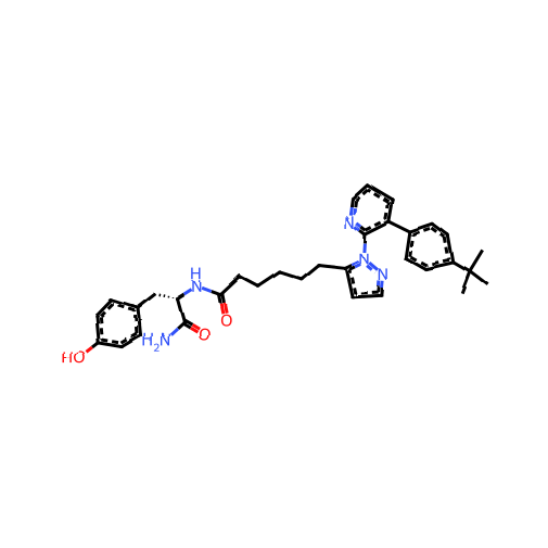 CC(C)(C)c1ccc(-c2cccnc2-n2nccc2CCCCCC(=O)N[C@@H](Cc2ccc(O)cc2)C(N)=O)cc1